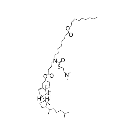 CCCCCC/C=C\COC(=O)CCCCCCCN(CCCC(=O)O[C@H]1CC[C@@]2(C)C(=CC[C@@H]3[C@@H]2CC[C@]2(C)C([C@H](C)CCCC(C)C)CC[C@@H]32)C1)C(=O)SCCN(C)C